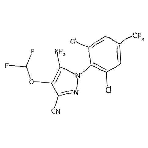 N#Cc1nn(-c2c(Cl)cc(C(F)(F)F)cc2Cl)c(N)c1OC(F)F